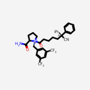 CC(C)[C@@](C#N)(CCCCC(=O)[N@@+]1(Cc2cc(C(F)(F)F)cc(C(F)(F)F)c2)CCCC1C(N)=O)c1ccccc1